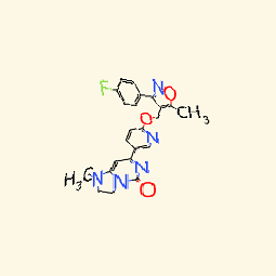 Cc1onc(-c2ccc(F)cc2)c1COc1ccc(-c2cc3n(c(=O)n2)CCN3C)cn1